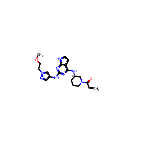 C=CC(=O)N1CCC[C@@H](Nc2nc(Nc3cnn(CCOC)c3)nc3[nH]ccc23)C1